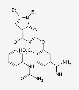 CCc1nc2c(Oc3cccc(NC(N)=O)c3)nc(Oc3cc(C(=N)N)ccc3C(=O)O)nc2n1CC